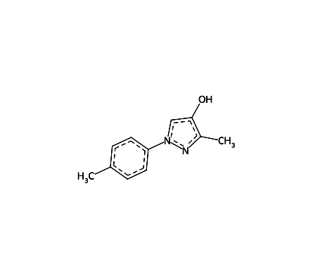 Cc1ccc(-n2cc(O)c(C)n2)cc1